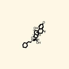 C[C@]12C=CC(=O)C=C1[C@@H](F)CC13C[C@]12[C@@H](O)C[C@@]1(C)[C@H]3C[C@H]2CN(CCC3CCCCC3)O[C@]21C(=O)CO